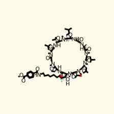 CC[C@@H]1NC(=O)[C@H]([C@H](O)[C@H](C)CCCCCCCNC(=O)c2ccc(C(=O)OC)cc2)N(C)C(=O)[C@H](C(C)C)N(C)C(=O)[C@H](CC(C)C)N(C)C(=O)[C@H](CC(C)C)N(C)C(=O)[C@H](C)NC(=O)[C@@H](C)NC(=O)[C@@H](CCC(C)C)N(C)C(=O)[C@@H](C(C)C)NC(=O)[C@H](CC(C)C)N(C)C(=O)CN(C)C1=O